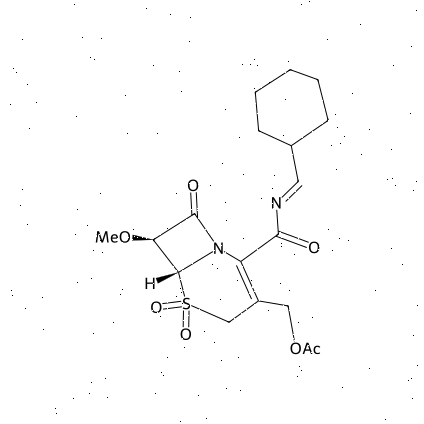 CO[C@H]1C(=O)N2C(C(=O)N=CC3CCCCC3)=C(COC(C)=O)CS(=O)(=O)[C@H]12